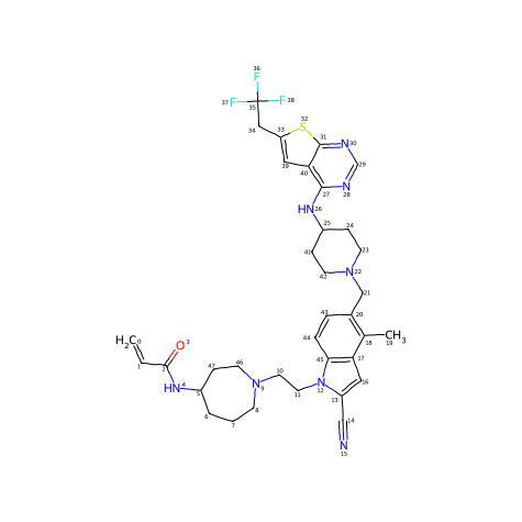 C=CC(=O)NC1CCCN(CCn2c(C#N)cc3c(C)c(CN4CCC(Nc5ncnc6sc(CC(F)(F)F)cc56)CC4)ccc32)CC1